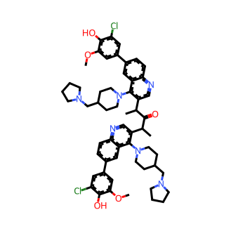 COc1cc(-c2ccc3ncc(C(C)C(=O)C(C)c4cnc5ccc(-c6cc(Cl)c(O)c(OC)c6)cc5c4N4CCC(CN5CCCC5)CC4)c(N4CCC(CN5CCCC5)CC4)c3c2)cc(Cl)c1O